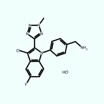 Cl.Cn1nnc(-c2c(Cl)c3cc(F)ccc3n2-c2ccc(CN)cc2)n1